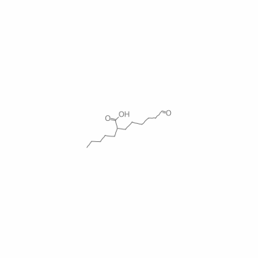 CCCCCC(CCCCCC=O)C(=O)O